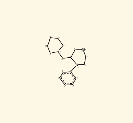 c1ccc(N2CCNCC2CN2CCCCC2)cc1